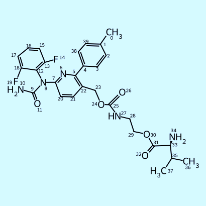 Cc1ccc(-c2nc(N(C(N)=O)c3c(F)cccc3F)ccc2COC(=O)NCCOC(=O)[C@@H](N)C(C)C)cc1